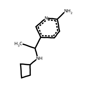 CC(NC1CCC1)c1ccc(N)nc1